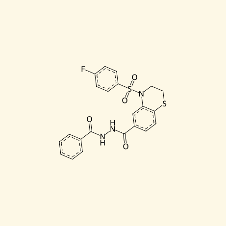 O=C(NNC(=O)c1ccc2c(c1)N(S(=O)(=O)c1ccc(F)cc1)CCS2)c1ccccc1